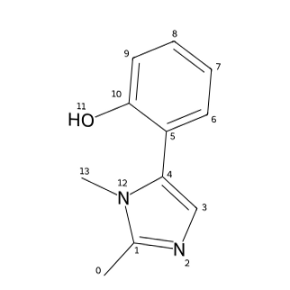 Cc1ncc(-c2ccccc2O)n1C